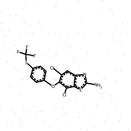 Nc1nc2cc(Cl)c(Oc3ccc(SC(F)(F)F)cc3)c(Cl)c2s1